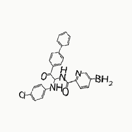 Bc1ccc(C(=O)NC(Nc2ccc(Cl)cc2)C(=O)c2ccc(-c3ccccc3)cc2)nc1